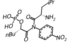 CCCC[C@H](OP(=O)(O)O)C(=O)N(C(=O)[C@@H](N)CC(C)C)c1ccc([N+](=O)[O-])cc1